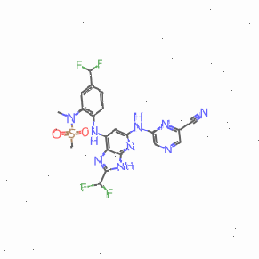 CN(c1cc(C(F)F)ccc1Nc1cc(Nc2cncc(C#N)n2)nc2[nH]c(C(F)F)nc12)S(C)(=O)=O